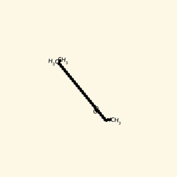 CCCC/C=C\CCCCCCCC(=O)OCCCCCCCCCCCCCCCCCCCCCCCCCCCCCCCCCCCCCC(C)CC